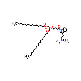 CCCCCCCCCCCCCCCC(=O)OCC(COC(=O)CCCCCCCCCCCCCCC)OC(=O)CCC(=O)n1cc(CCN(C)C)c2ccccc21